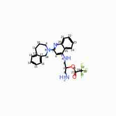 NCC(CNc1cc(N2CCCc3ccccc3C2)nc2ccccc12)OC(=O)C(F)(F)F